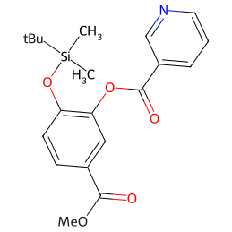 COC(=O)c1ccc(O[Si](C)(C)C(C)(C)C)c(OC(=O)c2cccnc2)c1